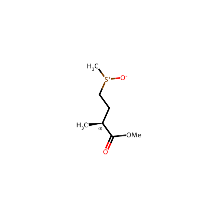 COC(=O)[C@@H](C)CC[S+](C)[O-]